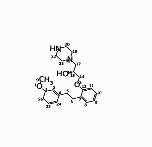 COC1C=C(CCc2ccccc2OCC(O)CN2CCNCC2)C=CC1